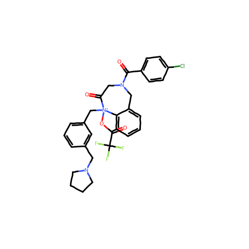 O=C(c1ccc(Cl)cc1)N1CC(=O)[N+](Cc2cccc(CN3CCCC3)c2)(OC(=O)C(F)(F)F)c2ccccc2C1